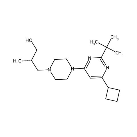 C[C@H](CO)CN1CCN(c2cc(C3CCC3)nc(C(C)(C)C)n2)CC1